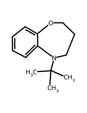 CC(C)(C)N1CCCOc2ccccc21